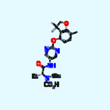 CC[C@H](C(=O)Nc1cnc(Oc2ccc(C)c3c2C(C)(C)CO3)nc1)N(C(=O)O)C(C)(C)C